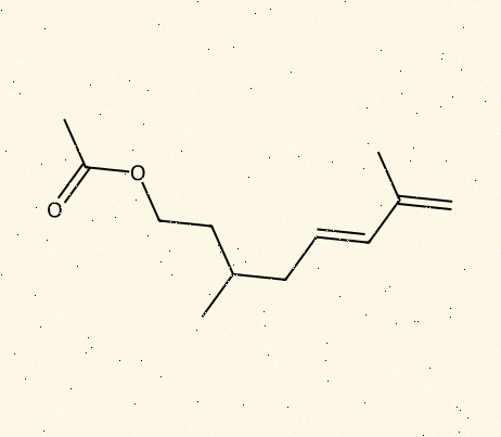 C=C(C)C=CCC(C)CCOC(C)=O